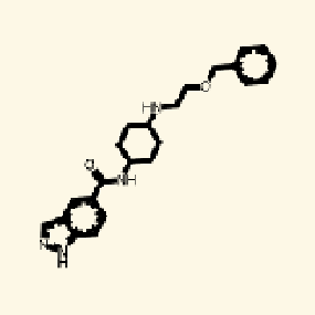 O=C(NC1CCC(NCCOCc2ccccc2)CC1)c1ccc2[nH]ncc2c1